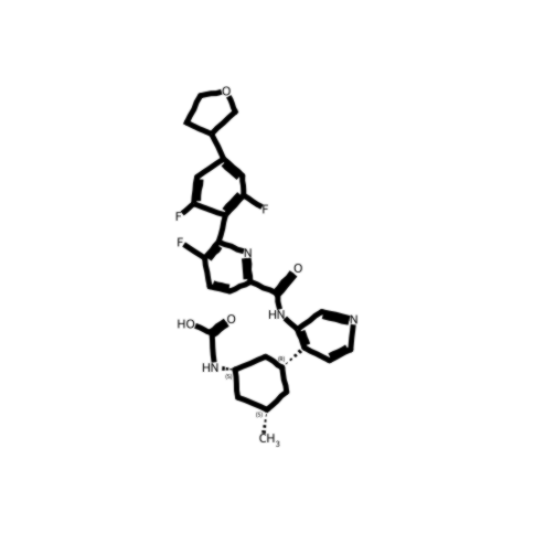 C[C@@H]1C[C@H](NC(=O)O)C[C@H](c2ccncc2NC(=O)c2ccc(F)c(-c3c(F)cc(C4CCOC4)cc3F)n2)C1